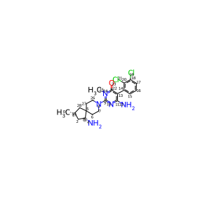 C[C@H]1C[C@@H](N)C2(CCN(c3nc(N)c(-c4cccc(Cl)c4Cl)c(=O)n3C)CC2)C1